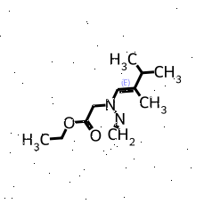 C=NN(/C=C(\C)C(C)C)CC(=O)OCC